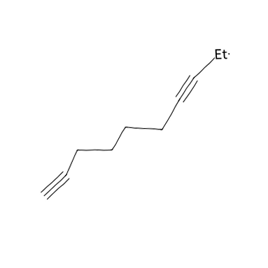 C#CCCCCC#C[CH]C